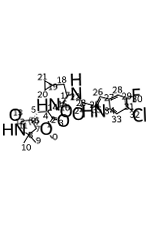 COC(=O)C(C[C@@H]1CC(C)(C)NC1=O)NC(=O)C(CC1CC1)NC(=O)c1cc2cc(F)c(Cl)cc2[nH]1